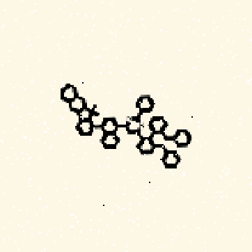 CC1(C)c2cc3ccccc3cc2-c2cccc(-c3ccc(-c4cc(-c5cccc(Cc6ccccc6)c5-c5ccccc5Cc5ccccc5)nc(-c5ccccc5)n4)c4ccccc34)c21